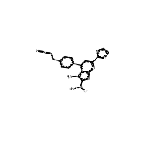 CCCC[S+]([O-])c1sc2nc(-c3nccs3)cc(-c3ccc(CN=[N+]=[N-])cc3)c2c1N